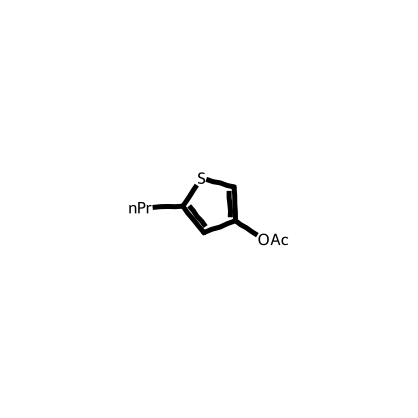 CCCc1cc(OC(C)=O)cs1